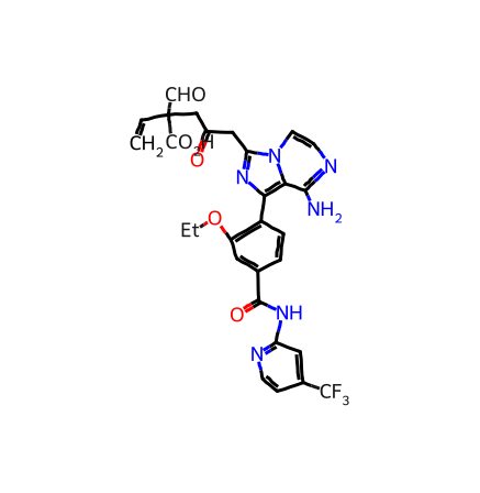 C=CC(C=O)(CC(=O)Cc1nc(-c2ccc(C(=O)Nc3cc(C(F)(F)F)ccn3)cc2OCC)c2c(N)nccn12)C(=O)O